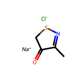 CC1=NSCC1=O.[Cl-].[Na+]